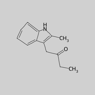 CCC(=O)Cc1c(C)[nH]c2ccccc12